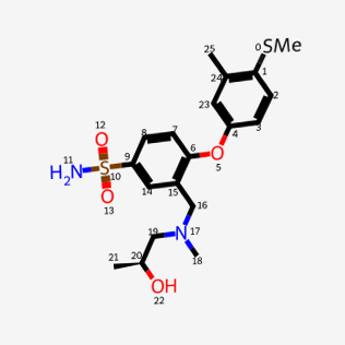 CSc1ccc(Oc2ccc(S(N)(=O)=O)cc2CN(C)C[C@H](C)O)cc1C